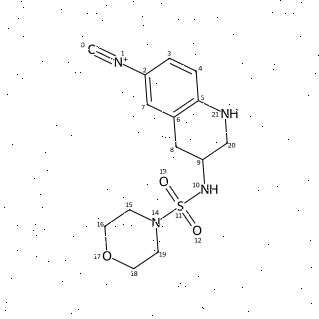 [C-]#[N+]c1ccc2c(c1)CC(NS(=O)(=O)N1CCOCC1)CN2